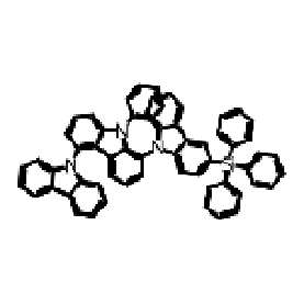 c1ccc(-n2c3cccc(-n4c5ccccc5c5ccccc54)c3c3cccc(-n4c5ccccc5c5cc([Si](c6ccccc6)(c6ccccc6)c6ccccc6)ccc54)c32)cc1